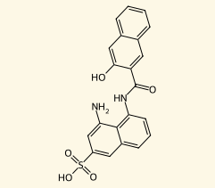 Nc1cc(S(=O)(=O)O)cc2cccc(NC(=O)c3cc4ccccc4cc3O)c12